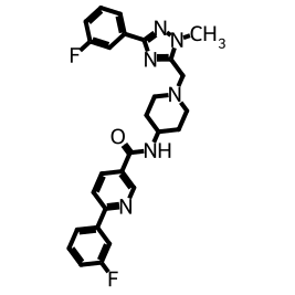 Cn1nc(-c2cccc(F)c2)nc1CN1CCC(NC(=O)c2ccc(-c3cccc(F)c3)nc2)CC1